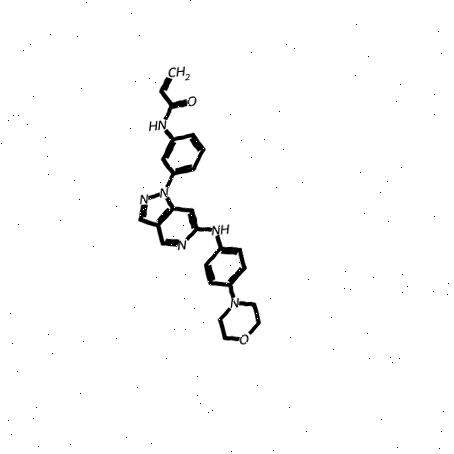 C=CC(=O)Nc1cccc(-n2ncc3cnc(Nc4ccc(N5CCOCC5)cc4)cc32)c1